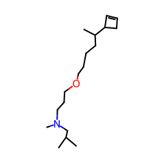 CC(C)CN(C)CCCOCCCCC(C)C1C=CC1